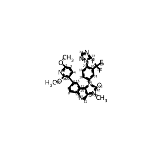 COc1ccc(-c2ccc3ncc4c(c3c2)n(-c2ccc(-n3cncn3)c(C(F)(F)F)c2)c(=O)n4C)c(OC)n1